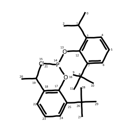 CC(C)c1cccc(C(C)(C)C)c1OP(Cl)Oc1c(C(C)C)cccc1C(C)(C)C